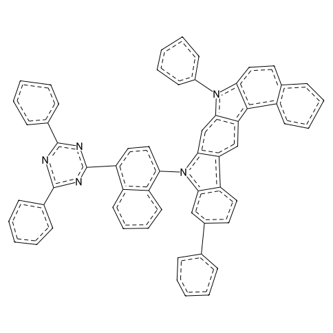 c1ccc(-c2ccc3c4cc5c6c7ccccc7ccc6n(-c6ccccc6)c5cc4n(-c4ccc(-c5nc(-c6ccccc6)nc(-c6ccccc6)n5)c5ccccc45)c3c2)cc1